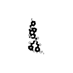 CN1C[C@H](C(=O)N(CCC(=O)c2cccc(C(F)(F)F)c2)CCC(=O)c2cccc(C(F)(F)F)c2)C=C2c3cccc4c3c(cn4Cc3cccc(F)c3)C[C@H]21